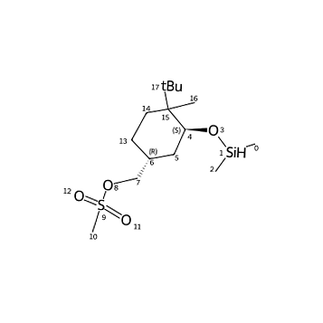 C[SiH](C)O[C@H]1C[C@H](COS(C)(=O)=O)CCC1(C)C(C)(C)C